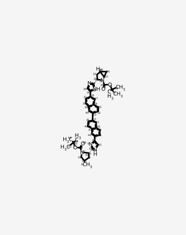 C[C@@H]1C[C@@H](c2nc(-c3ccc4cc(-c5ccc6cc(-c7cnc([C@@H]8C[C@H]9CC9N8C(=O)OC(C)(C)C)[nH]7)ccc6c5)ccc4c3)c[nH]2)N(C(=O)OC(C)(C)C)C1